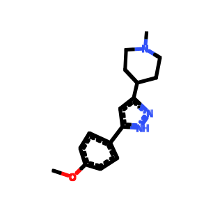 COc1ccc(-c2cc(C3CCN(C)CC3)n[nH]2)cc1